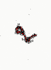 Cc1ncsc1-c1ccc(CNC(=O)[C@@H]2C[C@@H](O)CN2C(=O)[C@@H](NC(=O)CCCCCCC(=O)N2CCN(Cc3ccc(Nc4ncc(F)c(-c5cc(F)c6nc(C)n(C(C)C)c6c5)n4)nc3)CC2)C(C)(C)C)cc1